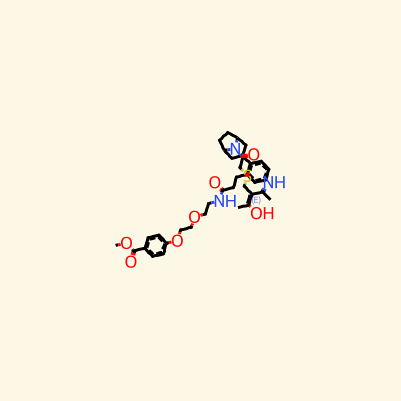 COC(=O)c1ccc(OCCOCCNC(=O)CCc2ccccc2C2CC3CCC(C2)N3C(=O)CSC/C(C(C)=N)=C(\C)O)cc1